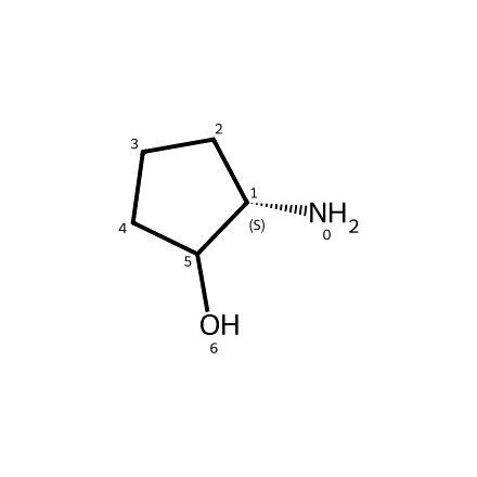 N[C@H]1CCCC1O